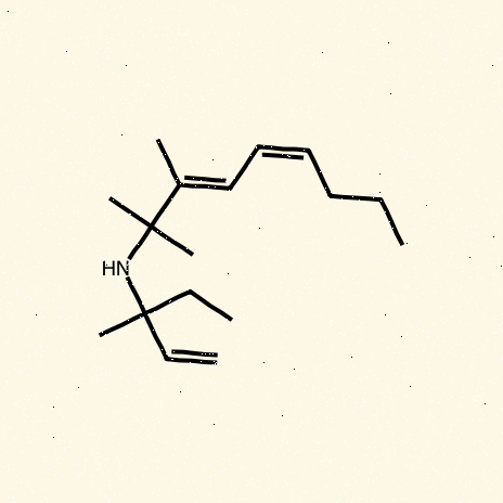 C=CC(C)(CC)NC(C)(C)/C(C)=C/C=C\CCC